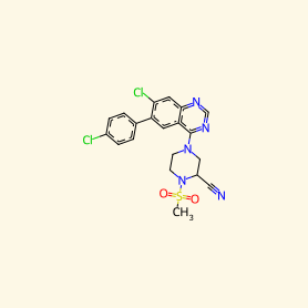 CS(=O)(=O)N1CCN(c2ncnc3cc(Cl)c(-c4ccc(Cl)cc4)cc23)CC1C#N